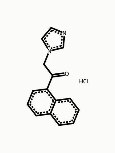 Cl.O=C(Cn1ccnc1)c1cccc2ccccc12